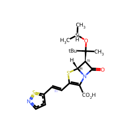 C[SiH](C)OC(C)([C@H]1C(=O)N2C(C(=O)O)=C(/C=C/c3ccns3)S[C@H]12)C(C)(C)C